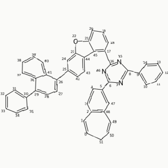 C1=Cc2ccc(-c3nc(-c4ccccc4)nc(-c4cccc5oc6cc(-c7ccc(-c8ccccc8)c8ccccc78)ccc6c45)n3)cc2C=CC1